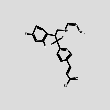 CCC(=O)/C=C/c1ccc(C(F)(F)C(CN/C=N\N)c2ccc(F)cc2F)nc1